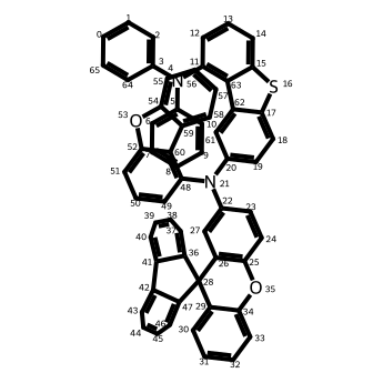 c1ccc(N(c2ccccc2)c2cccc3sc4ccc(N(c5ccc6c(c5)C5(c7ccccc7O6)c6ccccc6-c6ccccc65)c5cccc6oc7ccccc7c56)cc4c23)cc1